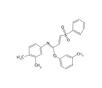 Cc1cccc(OC(/C=C/S(=O)(=O)c2ccccc2)=N\c2ccc(C)c(C)c2)c1